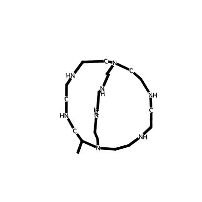 CC1CNCCNCCN2CCNCCNCCN1CCNCCNCC2